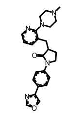 CN1CCN(c2ncccc2CC2CCN(c3ccc(-c4cocn4)cc3)C2=O)CC1